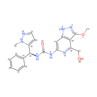 COc1n[nH]c2cc(NC(=O)N[C@@H](c3ccccc3)c3ccnn3C)nc(CO)c12